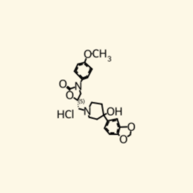 COc1ccc(N2C[C@H](CN3CCC(O)(c4ccc5c(c4)OCO5)CC3)OC2=O)cc1.Cl